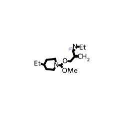 C=C(/C=N\CC)COC(OC)N1CCC(CC)CC1